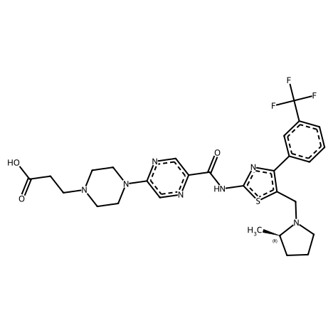 C[C@@H]1CCCN1Cc1sc(NC(=O)c2cnc(N3CCN(CCC(=O)O)CC3)cn2)nc1-c1cccc(C(F)(F)F)c1